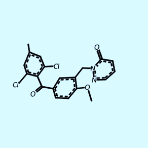 COc1ccc(C(=O)c2c(Cl)cc(C)cc2Cl)cc1Cn1ncccc1=O